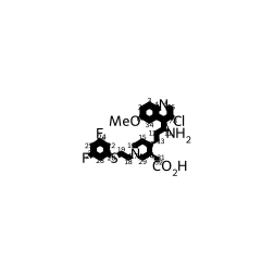 COc1ccc2ncc(Cl)c([C@@H](N)CC[C@@H]3CCN(CCSc4cc(F)cc(F)c4)C[C@@H]3CC(=O)O)c2c1